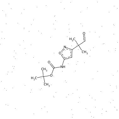 CC(C)(C)OC(=O)Nc1cc(C(C)(C)C=O)no1